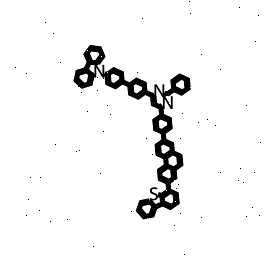 c1ccc(-c2nc(-c3ccc(-c4ccc(-n5c6ccccc6c6ccccc65)cc4)cc3)cc(-c3ccc(-c4ccc5c(ccc6cc(-c7cccc8c7sc7ccccc78)ccc65)c4)cc3)n2)cc1